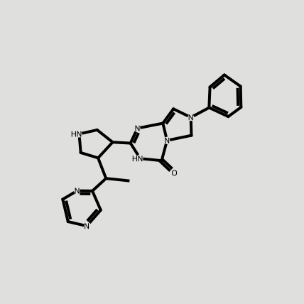 CC(c1cnccn1)C1CNCC1C1=NC2=CN(c3ccccc3)CN2C(=O)N1